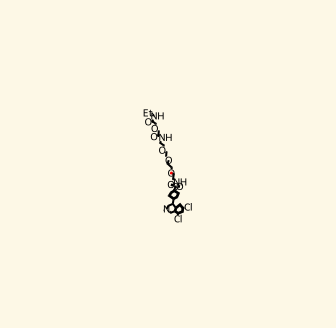 CCNC(=O)COCC(=O)NCCOCCOCCOCCNS(=O)(=O)c1ccc(C2CN(C)Cc3c(Cl)cc(Cl)cc32)cc1